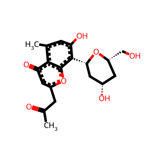 CC(=O)Cc1cc(=O)c2c(C)cc(O)c([C@H]3C[C@@H](O)C[C@@H](CO)O3)c2o1